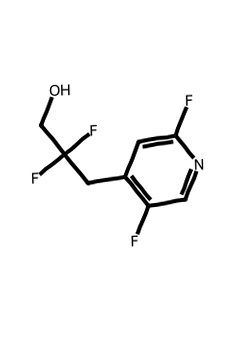 OCC(F)(F)Cc1cc(F)ncc1F